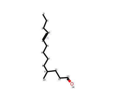 CCC/C=C/CCCCC(C)CC[C]=O